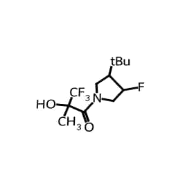 CC(C)(C)C1CN(C(=O)C(C)(O)C(F)(F)F)CC1F